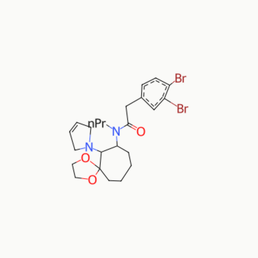 CCCN(C(=O)Cc1ccc(Br)c(Br)c1)C1CCCCC2(OCCO2)C1N1CC=CC1